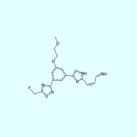 COCCOc1cc(-c2c[nH]c(/C=C\C=N)n2)cc(-c2noc(CF)n2)c1